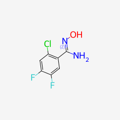 N/C(=N\O)c1cc(F)c(F)cc1Cl